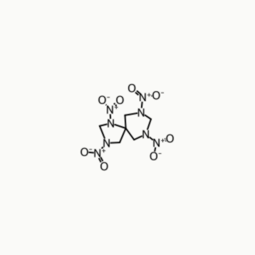 O=[N+]([O-])N1CN([N+](=O)[O-])CC2(C1)CN([N+](=O)[O-])CN2[N+](=O)[O-]